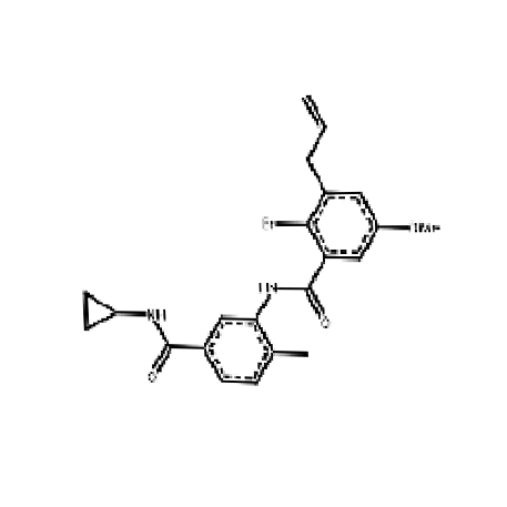 C=CCc1cc(OC)cc(C(=O)Nc2cc(C(=O)NC3CC3)ccc2C)c1Br